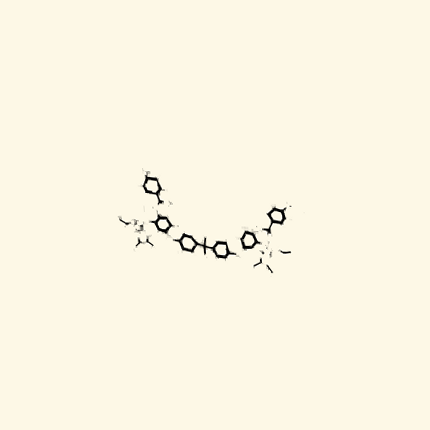 CCO[Si](OCC)(OCC)Oc1cc(Oc2ccc(C(C)(C)c3ccc(Oc4ccc(NC(=O)c5ccc(N)cc5)c(O[Si](OCC)(OCC)OCC)c4)cc3)cc2)ccc1NC(=O)c1ccc(N)cc1